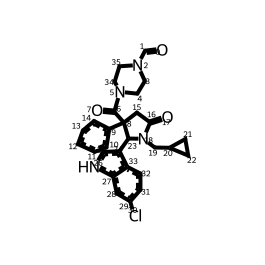 O=CN1CCN(C(=O)C2(c3ccccc3)CC(=O)N(CC3CC3)C2c2c[nH]c3cc(Cl)ccc23)CC1